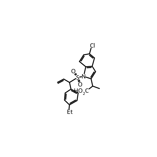 C=CC(c1ccc(CC)cc1)S(=O)(=O)n1c(C(C)C(=O)O)cc2cc(Cl)ccc21